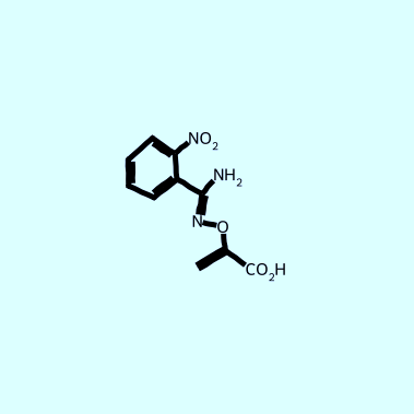 C=C(O/N=C(\N)c1ccccc1[N+](=O)[O-])C(=O)O